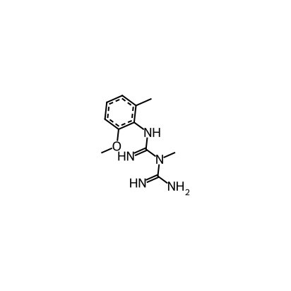 COc1cccc(C)c1NC(=N)N(C)C(=N)N